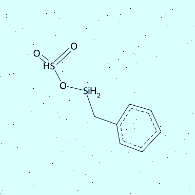 O=[SH](=O)O[SiH2]Cc1ccccc1